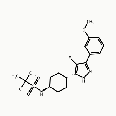 COc1cccc(-c2n[nH]c([C@H]3CC[C@H](NS(=O)(=O)C(C)(C)C)CC3)c2F)c1